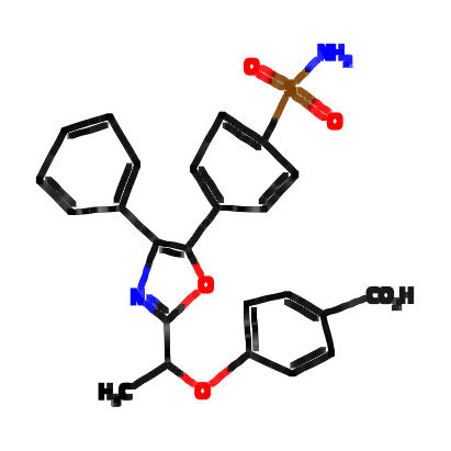 CC(Oc1ccc(C(=O)O)cc1)c1nc(-c2ccccc2)c(-c2ccc(S(N)(=O)=O)cc2)o1